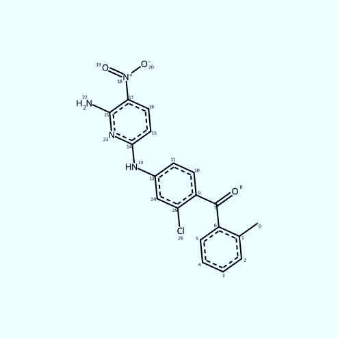 Cc1ccccc1C(=O)c1ccc(Nc2ccc([N+](=O)[O-])c(N)n2)cc1Cl